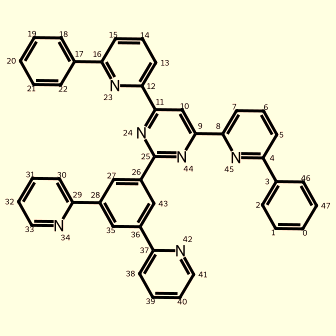 c1ccc(-c2cccc(-c3cc(-c4cccc(-c5ccccc5)n4)nc(-c4cc(-c5ccccn5)cc(-c5ccccn5)c4)n3)n2)cc1